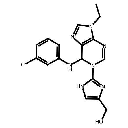 CCn1cnc2c1N=CN(c1nc(CO)c[nH]1)C2Nc1cccc(Cl)c1